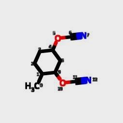 CC1CCC(OC#N)CC1OC#N